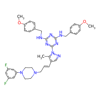 COc1ccc(CNc2nc(NCc3ccc(OC)cc3)nc(-n3ncc(C=CCN4CCN(c5cc(F)cc(F)c5)CC4)c3C)n2)cc1